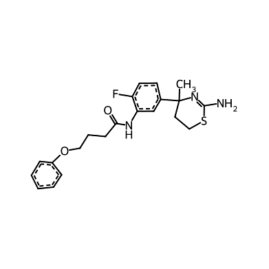 CC1(c2ccc(F)c(NC(=O)CCCOc3ccccc3)c2)CCSC(N)=N1